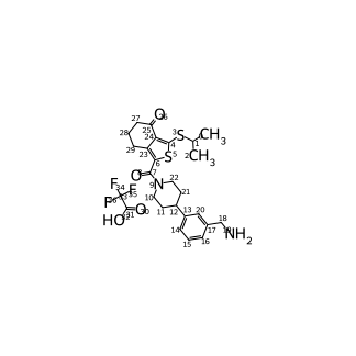 CC(C)Sc1sc(C(=O)N2CCC(c3cccc(CN)c3)CC2)c2c1C(=O)CCC2.O=C(O)C(F)(F)F